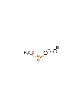 C=CC(=O)SCCS(=O)(=O)CCSc1ccc2c(c1)C=C(c1cccc(CC)c1)CC2